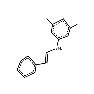 Cc1cc(C)cc([SiH2]C=Cc2ccccc2)c1